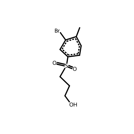 Cc1ccc(S(=O)(=O)CCCO)cc1Br